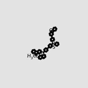 CC1(C)c2ccccc2-c2ccc(N(c3ccc(-c4ccc5c(c4)Sc4ccccc4N5c4ccc(-c5ccc6oc7ccccc7c6c5)cc4)cc3)c3cccc4ccccc34)cc21